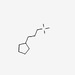 C[Si](C)(C)CCCC1CCCC1